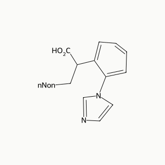 CCCCCCCCCCC(C(=O)O)c1ccccc1-n1ccnc1